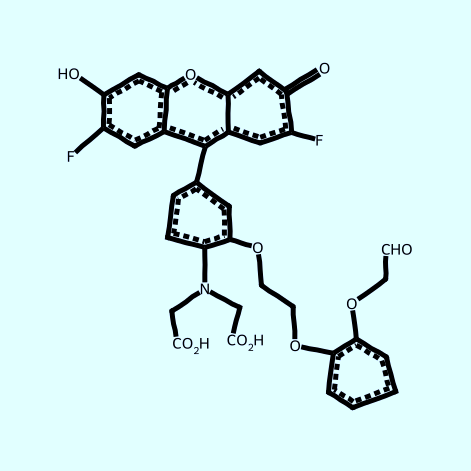 O=CCOc1ccccc1OCCOc1cc(-c2c3cc(F)c(=O)cc-3oc3cc(O)c(F)cc23)ccc1N(CC(=O)O)CC(=O)O